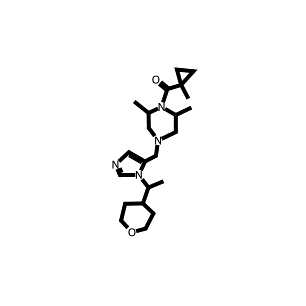 CC1CN(Cc2cncn2C(C)C2CCOCC2)CC(C)N1C(=O)C1(C)CC1